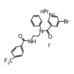 CCC[n+]1cc(Br)cc(C(=O)N(CCNC(=O)c2ccc(C(F)(F)F)cc2)c2ccccc2)c1.[I-]